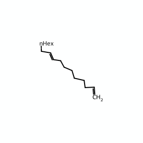 [CH2]CCCCCC/C=C/CCCCCCC=C